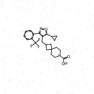 O=C(O)N1CCC2(CC1)CC(Cc1c(-c3ccccc3C(F)(F)F)noc1C1CC1)C2